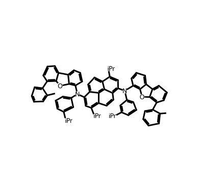 Cc1ccccc1-c1cccc2c1oc1c(N(c3cccc(C(C)C)c3)c3cc(C(C)C)c4ccc5c(N(c6cccc(C(C)C)c6)c6cccc7c6oc6c(-c8ccccc8C)cccc67)cc(C(C)C)c6ccc3c4c65)cccc12